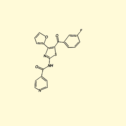 O=C(Nc1nc(-c2ccco2)c(C(=O)c2cccc(F)c2)s1)c1ccncc1